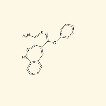 NC(=S)C1=NNc2ccccc2C=C1C(=O)Oc1ccccc1